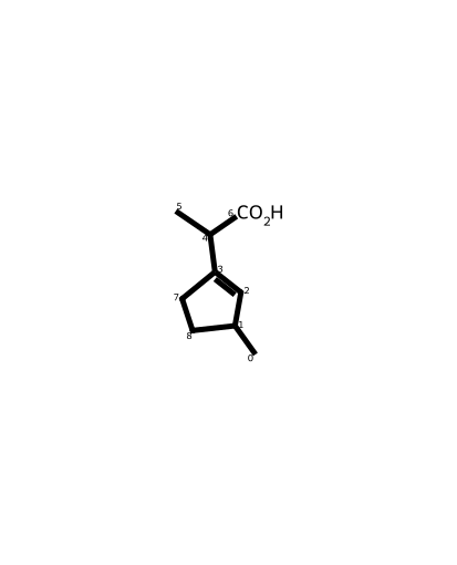 CC1C=C(C(C)C(=O)O)CC1